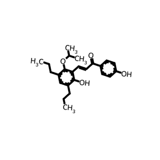 CCCc1cc(CCC)c(OC(C)C)c(C=CC(=O)c2ccc(O)cc2)c1O